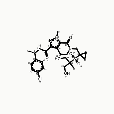 C[C@@H](NC(=O)c1nn(C)c2c1CCN(CC1(S(=O)(=O)C(C)(CO)CO)CC1)C2=O)c1ccc(Cl)cc1